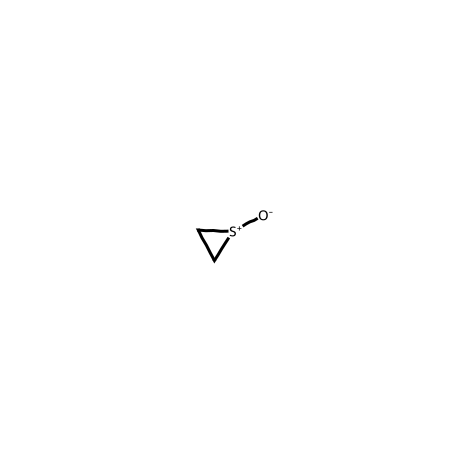 [O-][S+]1CC1